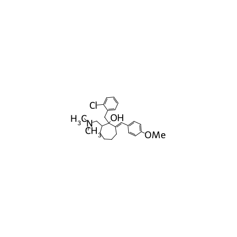 COc1ccc(C=C2CCCCC(CN(C)C)C2(O)Cc2ccccc2Cl)cc1